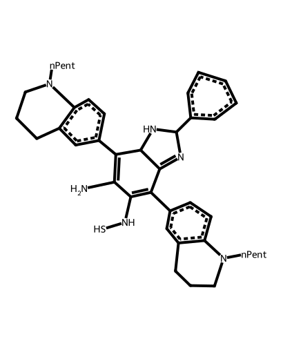 CCCCCN1CCCc2cc(C3=C(NS)C(N)=C(c4ccc5c(c4)CCCN5CCCCC)C4NC(c5ccccc5)N=C34)ccc21